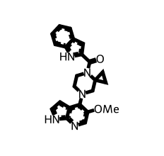 COc1cnc2[nH]ccc2c1N1CCN(C(=O)c2cc3ccccc3[nH]2)C2(CC2)C1